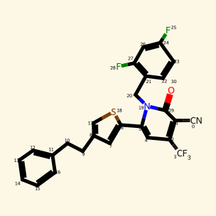 N#Cc1c(C(F)(F)F)cc(-c2cc(CCc3ccccc3)cs2)n(Cc2ccc(F)cc2F)c1=O